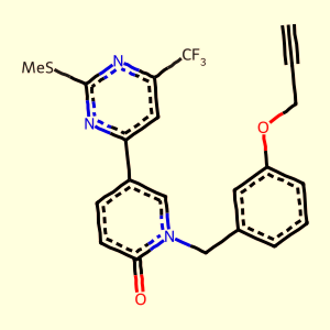 C#CCOc1cccc(Cn2cc(-c3cc(C(F)(F)F)nc(SC)n3)ccc2=O)c1